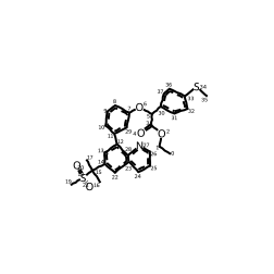 CCOC(=O)C(Oc1cccc(-c2cc(C(C)(C)S(C)(=O)=O)cc3cccnc23)c1)c1ccc(SC)cc1